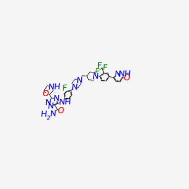 NC(=O)c1nnc(C2CNCCO2)nc1Nc1ccc(N2CCN(CC3CCN(c4ccc(-c5ccc(=O)[nH]n5)cc4C(F)(F)F)CC3)CC2)c(F)c1